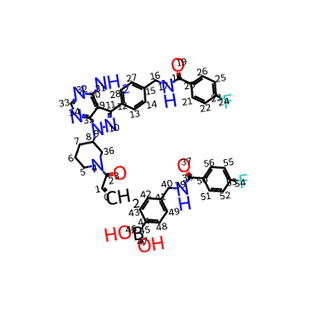 C=CC(=O)N1CCC[C@@H](n2nc(-c3ccc(CNC(=O)c4ccc(F)cc4)cc3)c3c(N)ncnc32)C1.O=C(NCc1ccc(B(O)O)cc1)c1ccc(F)cc1